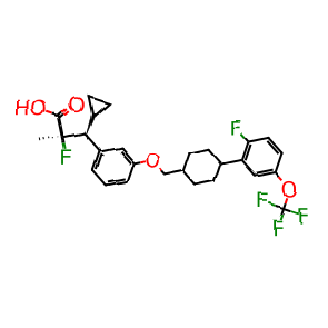 C[C@](F)(C(=O)O)[C@H](c1cccc(OCC2CCC(c3cc(OC(F)(F)F)ccc3F)CC2)c1)C1CC1